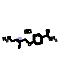 Cl.NC/C=C(\F)COc1ccc(C(N)=O)cc1